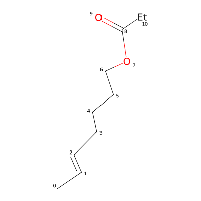 CC=CCCCCOC(=O)CC